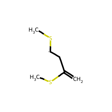 C=C(C[CH]SC)SC